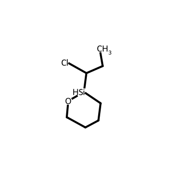 CCC(Cl)[SiH]1CCCCO1